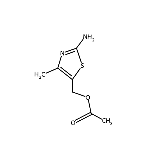 CC(=O)OCc1sc(N)nc1C